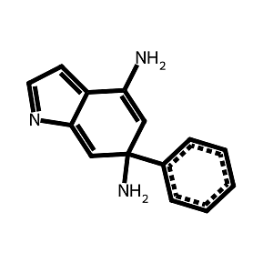 NC1=CC(N)(c2ccccc2)C=C2N=CC=C12